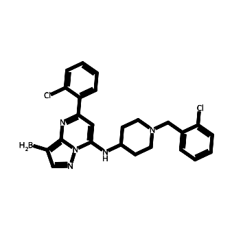 Bc1cnn2c(NC3CCN(Cc4ccccc4Cl)CC3)cc(-c3ccccc3Cl)nc12